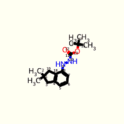 CC1(C)Cc2cccc(NNC(=O)OC(C)(C)C)c2C1